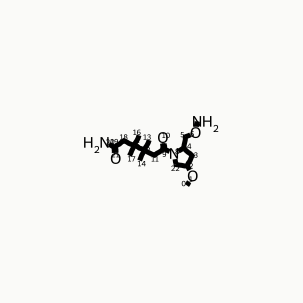 COC1CC(CON)N(C(=O)CC(C)(C)C(C)(C)CC(N)=O)C1